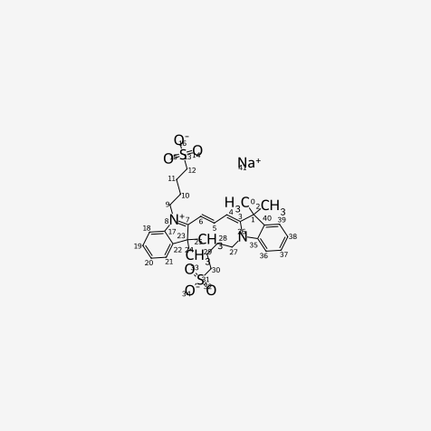 CC1(C)C(=CC=CC2=[N+](CCCCS(=O)(=O)[O-])c3ccccc3C2(C)C)N(CCCCS(=O)(=O)[O-])c2ccccc21.[Na+]